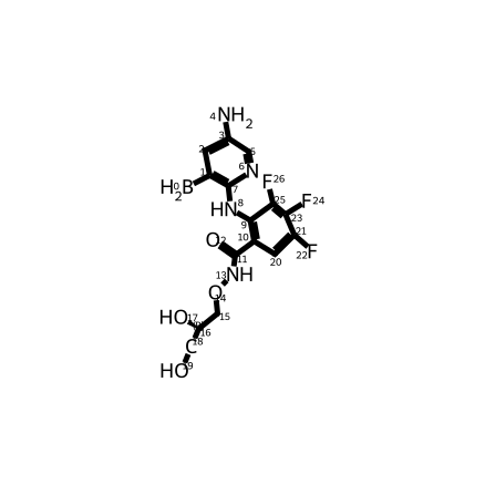 Bc1cc(N)cnc1Nc1c(C(=O)NOC[C@H](O)CO)cc(F)c(F)c1F